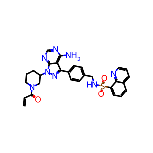 C=CC(=O)N1CCCC(n2nc(-c3ccc(CNS(=O)(=O)c4cccc5cccnc45)cc3)c3c(N)ncnc32)C1